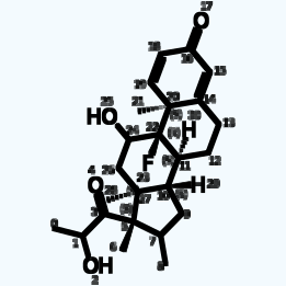 CC(O)C(=O)[C@@]1(C)C(C)C[C@H]2[C@@H]3CCC4=CC(=O)C=C[C@]4(C)[C@@]3(F)C(O)C[C@@]21C